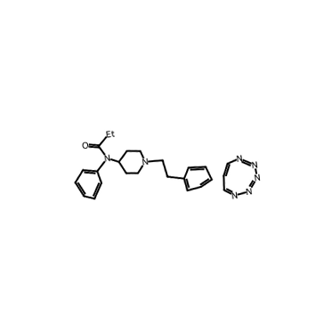 C1=C\N=N/N=N\N=C/1.CCC(=O)N(c1ccccc1)C1CCN(CCc2ccccc2)CC1